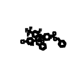 O=C(N[C@@](Cc1ccccc1)(c1cc(F)cc(C(F)(F)F)c1)c1ccc(Cl)cn1)N1CCN(C(=O)OCc2ccccc2)CC1